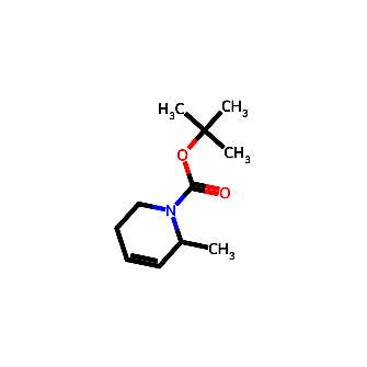 CC1C=CCCN1C(=O)OC(C)(C)C